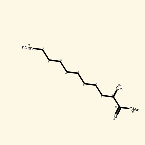 CCCCCCCCCCCCCCCCCC(O)C(=O)OC